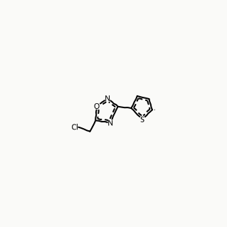 ClCc1nc(-c2cc[c]s2)no1